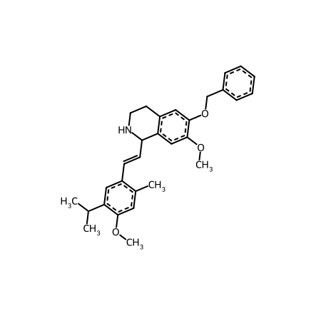 COc1cc2c(cc1OCc1ccccc1)CCNC2/C=C/c1cc(C(C)C)c(OC)cc1C